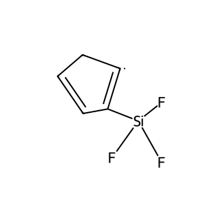 F[Si](F)(F)C1=[C]CC=C1